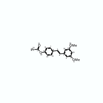 COc1cc(/C=C/c2ccc(OC(=O)C(C)C)cc2)cc(OC)c1